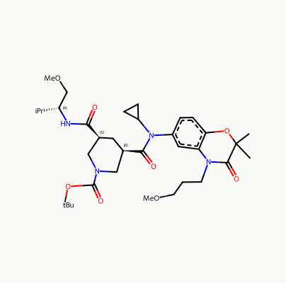 COCCCN1C(=O)C(C)(C)Oc2ccc(N(C(=O)[C@@H]3C[C@H](C(=O)N[C@@H](COC)C(C)C)CN(C(=O)OC(C)(C)C)C3)C3CC3)cc21